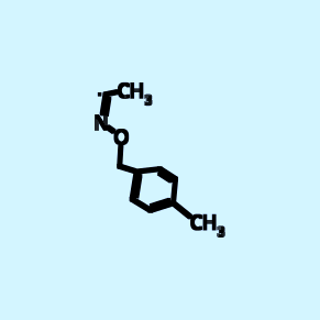 C/[C]=N\OCc1ccc(C)cc1